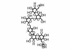 C[C@@H]1OC(CO[C@H]2OC(CO[C@H]3OC(CO)[C@@H](O)[C@H](O)C3O[C@@H]3OC(COO)[C@@H](O)[C@H](O)C3O)[C@@H](O)[C@H](O)C2O)[C@@H](O)[C@H](OC2OC(CO)[C@@H](O)[C@H](O)C2O[C@H]2OC(COP(=O)(O)O)[C@@H](O)[C@H](O)C2O)C1O